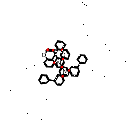 c1ccc(-c2cccc(N(c3cccc(-c4ccccc4)c3)c3ccc4c(c3)Oc3ccccc3C43c4ccccc4Oc4cccc(N(c5ccccc5)c5ccccc5)c43)c2)cc1